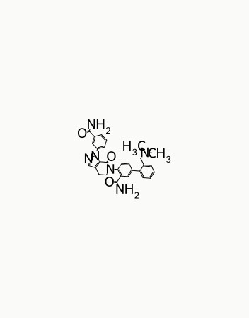 CN(C)Cc1ccccc1-c1ccc(N2CCc3cnn(-c4cccc(C(N)=O)c4)c3C2=O)c(C(N)=O)c1